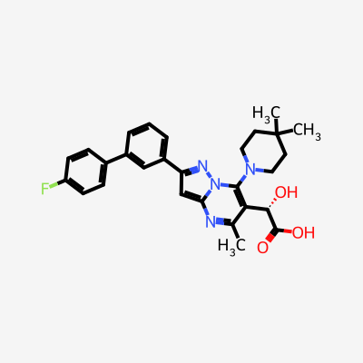 Cc1nc2cc(-c3cccc(-c4ccc(F)cc4)c3)nn2c(N2CCC(C)(C)CC2)c1[C@H](O)C(=O)O